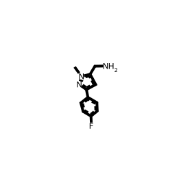 Cn1nc(-c2ccc(F)cc2)cc1CN